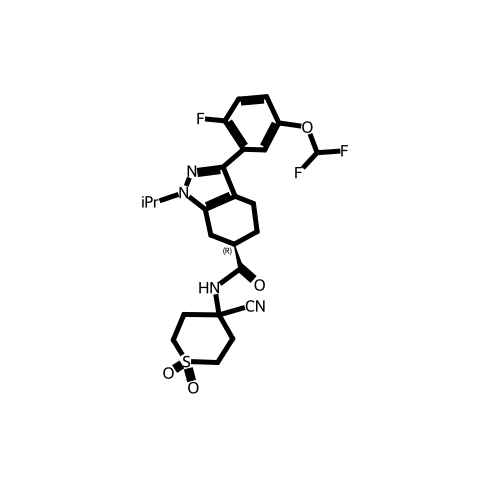 CC(C)n1nc(-c2cc(OC(F)F)ccc2F)c2c1C[C@H](C(=O)NC1(C#N)CCS(=O)(=O)CC1)CC2